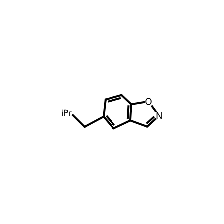 CC(C)Cc1ccc2oncc2c1